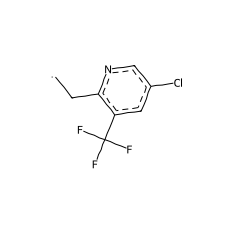 [CH2]Cc1ncc(Cl)cc1C(F)(F)F